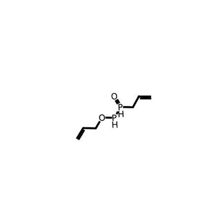 C=CCOP[PH](=O)CC=C